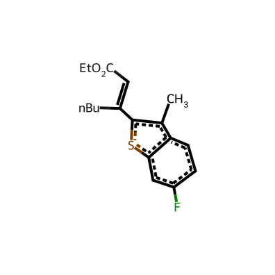 CCCC/C(=C\C(=O)OCC)c1sc2cc(F)ccc2c1C